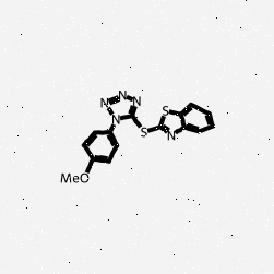 COc1ccc(-n2nnnc2Sc2nc3ccccc3s2)cc1